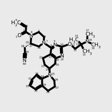 C=CC(=O)N1CCN(c2nc(OCC(C)(C)N(C)C)nc3c2CCC(N2CCCc4ccccc42)C3)C[C@@H]1CC#N